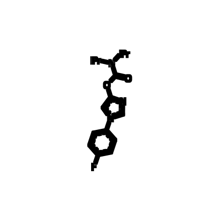 CC(C)N(C(=O)Oc1cn(-c2ccc(F)cc2)cn1)C(C)C